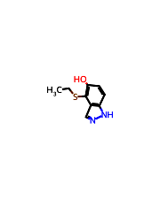 CCSc1c(O)ccc2[nH]ncc12